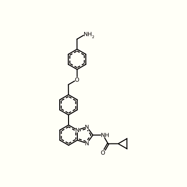 NCc1ccc(OCc2ccc(-c3cccc4nc(NC(=O)C5CC5)nn34)cc2)cc1